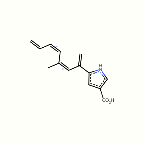 C=C/C=C\C(C)=C/C(=C)c1cc(C(=O)O)c[nH]1